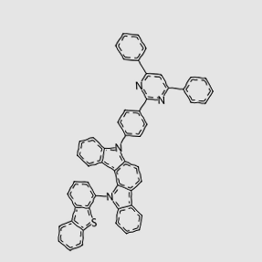 c1ccc(-c2cc(-c3ccccc3)nc(-c3ccc(-n4c5ccccc5c5c4ccc4c6ccccc6n(-c6cccc7c6sc6ccccc67)c45)cc3)n2)cc1